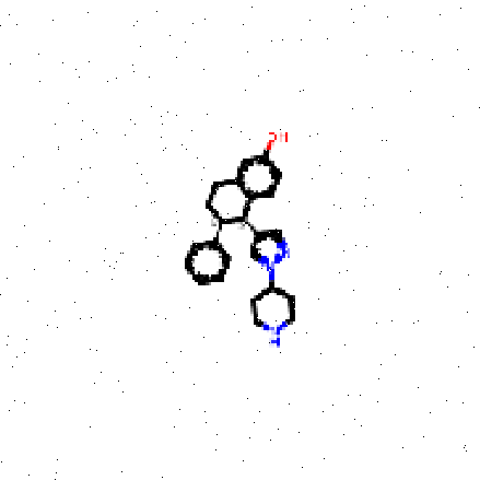 Oc1ccc2c(c1)CC[C@H](c1ccccc1)[C@@H]2c1cnn(C2CCNCC2)c1